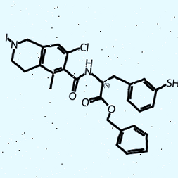 Cc1c2c(cc(Cl)c1C(=O)N[C@@H](Cc1cccc(S)c1)C(=O)OCc1ccccc1)CN(I)CC2